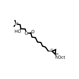 CCCCCCCC[C@@H]1C[C@@H]1CCCCCCCC(=O)OCC(O)CN(C)C